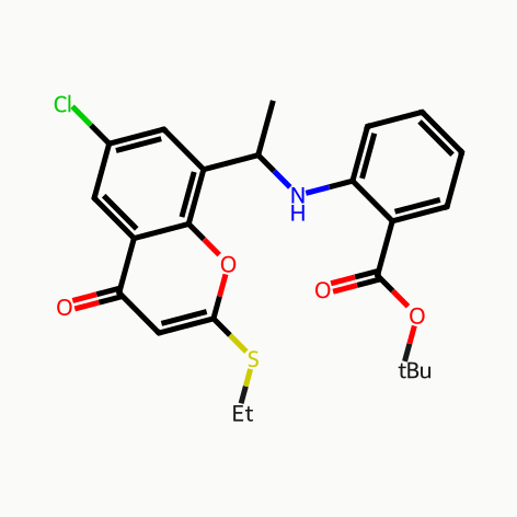 CCSc1cc(=O)c2cc(Cl)cc(C(C)Nc3ccccc3C(=O)OC(C)(C)C)c2o1